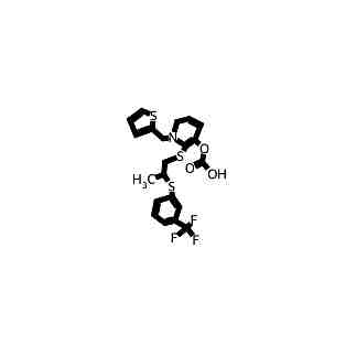 CC(CSC1=C(OC(=O)O)C=CCN1Cc1cccs1)Sc1cccc(C(F)(F)F)c1